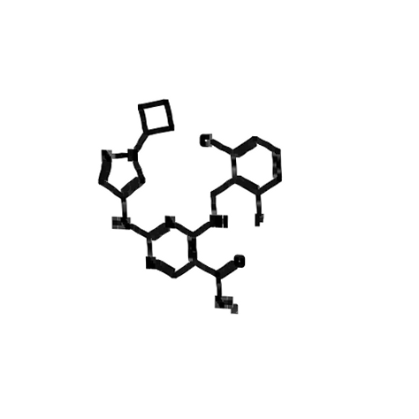 NC(=O)c1cnc(Nc2cnn(C3CCC3)c2)nc1NCc1c(F)cccc1Cl